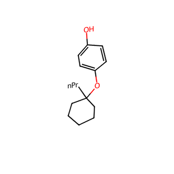 CCCC1(Oc2ccc(O)cc2)CCCCC1